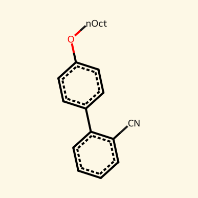 CCCCCCCCOc1ccc(-c2ccccc2C#N)cc1